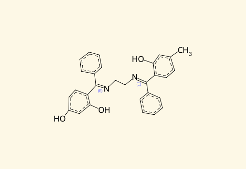 Cc1ccc(/C(=N/CC/N=C(\c2ccccc2)c2ccc(O)cc2O)c2ccccc2)c(O)c1